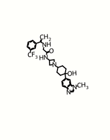 C=C(NCC(=O)NC1CN(C2CCC(O)(c3ccc4ncn(C)c4c3)CC2)C1)c1cccc(C(F)(F)F)c1